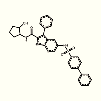 O=C(NC1CCCC1O)c1[nH]c2ncc(NS(=O)(=O)c3ccc(-c4ccccc4)cc3)cc2c1-c1ccccc1